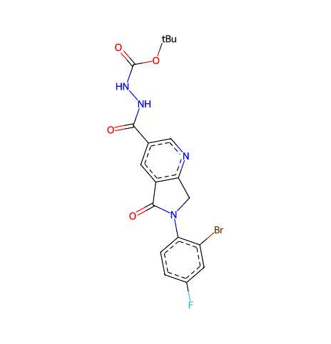 CC(C)(C)OC(=O)NNC(=O)c1cnc2c(c1)C(=O)N(c1ccc(F)cc1Br)C2